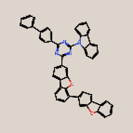 c1ccc(-c2ccc(-c3nc(-c4ccc5c(c4)oc4c(-c6ccc7c(c6)oc6ccccc67)cccc45)nc(-n4c5ccccc5c5ccccc54)n3)cc2)cc1